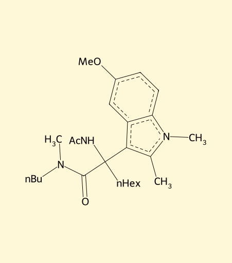 CCCCCCC(NC(C)=O)(C(=O)N(C)CCCC)c1c(C)n(C)c2ccc(OC)cc12